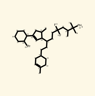 CC1=CCC(CCC(CCC(F)(F)CC(C)C(C)(C)P)C2C=C(C3CCCCC3C(C)C)CC2C)CC1